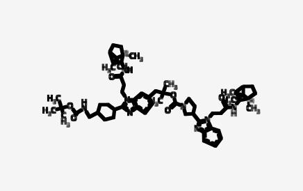 CC(C)(C)OC(=O)NCC1CCC(c2nc3ccc(CC(C)(C)OC(=O)N4CCC(c5nc6ccccc6n5CCC(=O)NC5CC6CC[C@]5(C)C6(C)C)C4)cc3n2CCC(=O)NC2CC3CC[C@]2(C)C3(C)C)CC1